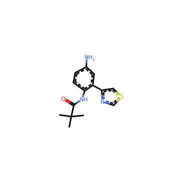 CC(C)(C)C(=O)Nc1ccc(N)cc1-c1cscn1